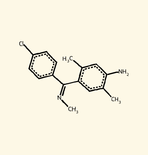 C/N=C(/c1ccc(Cl)cc1)c1cc(C)c(N)cc1C